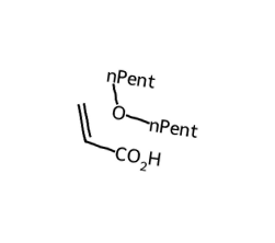 C=CC(=O)O.CCCCCOCCCCC